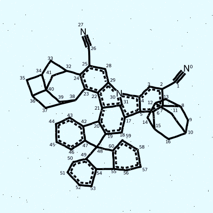 N#Cc1cc2c(c3c1C1CC4CC(C1)CC3C4)c1cc3c(c4c5c6c(c(C#N)cc5n2c14)C1CC2CC4CC6CC24C1)-c1ccccc1C31c2ccccc2-c2ccccc21